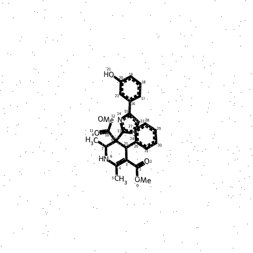 COC(=O)C1=C(C)NC(C)C(C(=O)OC)(c2nc(-c3cccc(O)c3)cs2)C1c1ccccc1